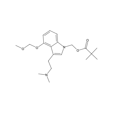 COCOc1cccc2c1c(CCN(C)C)cn2COC(=O)C(C)(C)C